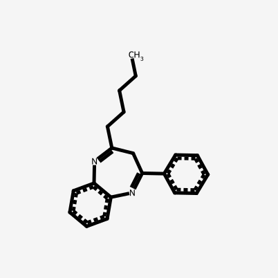 CCCCCC1=Nc2ccccc2N=C(c2ccccc2)C1